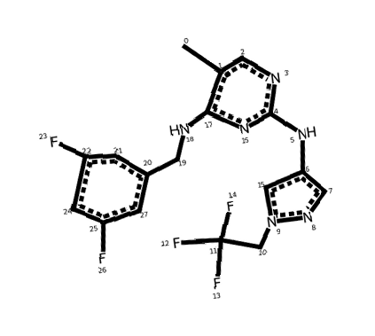 Cc1cnc(Nc2cnn(CC(F)(F)F)c2)nc1NCc1cc(F)cc(F)c1